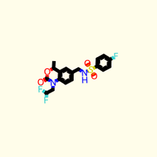 CC1OC(=O)N(CC(F)F)c2ccc(CNS(=O)(=O)c3ccc(F)cc3)cc21